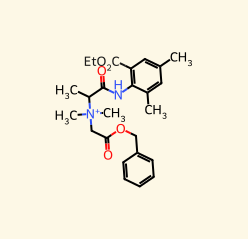 CCOC(=O)c1cc(C)cc(C)c1NC(=O)C(C)[N+](C)(C)CC(=O)OCc1ccccc1